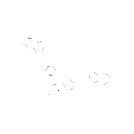 CN1OC1(C(=O)Oc1ccc(OCc2ccc3ccc(Cl)cc3n2)cc1)c1ccc(OCc2ccc3ccc(Cl)cc3n2)cc1